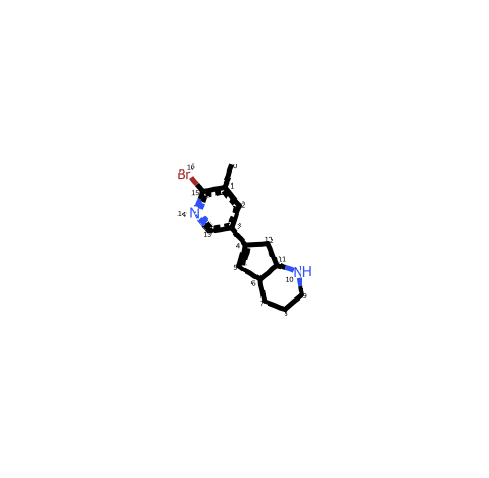 Cc1cc(C2=CC3CCCNC3C2)cnc1Br